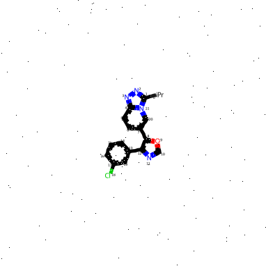 CC(C)c1nnc2ccc(-c3ocnc3-c3cccc(Cl)c3)cn12